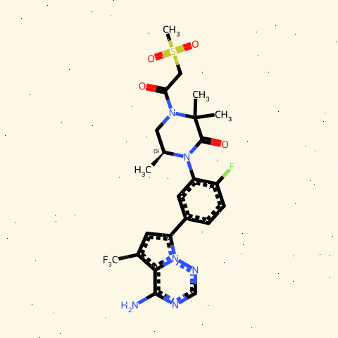 C[C@H]1CN(C(=O)CS(C)(=O)=O)C(C)(C)C(=O)N1c1cc(-c2cc(C(F)(F)F)c3c(N)ncnn23)ccc1F